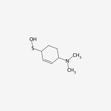 CN(C)C1C=CC(SO)CC1